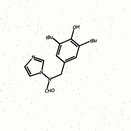 CC(C)(C)c1cc(CN(C=O)n2ccnc2)cc(C(C)(C)C)c1O